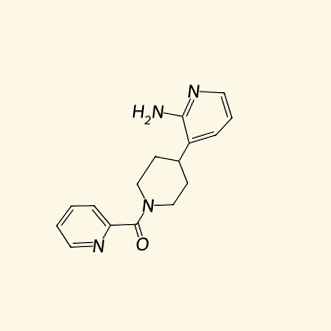 Nc1ncccc1C1CCN(C(=O)c2ccccn2)CC1